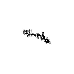 O=C(Cn1cnc(-c2ccc(Cl)cc2)cc1=O)NCCCNC(=O)c1cn[nH]n1